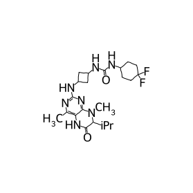 Cc1nc(NC2CC(NC(=O)NC3CCC(F)(F)CC3)C2)nc2c1NC(=O)C(C(C)C)N2C